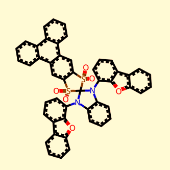 O=S1(=O)c2cc3c4ccccc4c4ccccc4c3cc2S(=O)(=O)C12N(c1cccc3c1oc1ccccc13)c1ccccc1N2c1cccc2c1oc1ccccc12